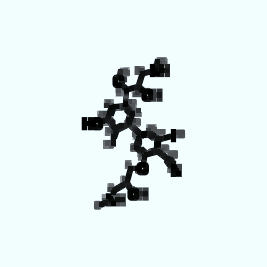 CNCC(O)COc1cc(-c2cc(C(OC)C(O)CNC)cc(O)c2I)cc(I)c1C#N